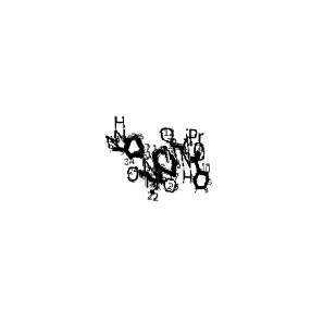 CC(C)[C@@H](NC(=O)C1CCCCC1)C(=O)N1CCC2(CC1)C(=O)N(C)C(=O)N2c1ccc2[nH]ncc2c1